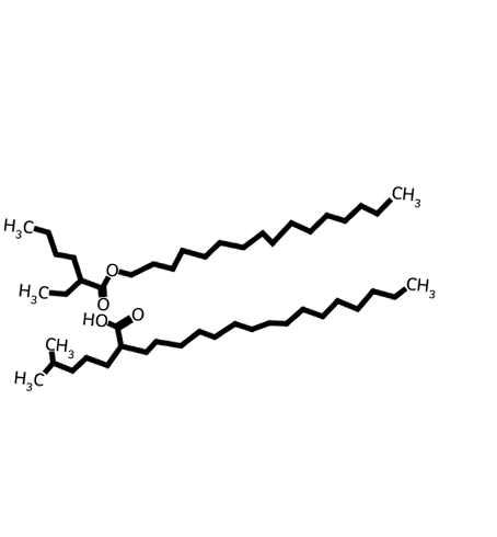 CCCCCCCCCCCCCCCCC(CCCC(C)C)C(=O)O.CCCCCCCCCCCCCCCCOC(=O)C(CC)CCCC